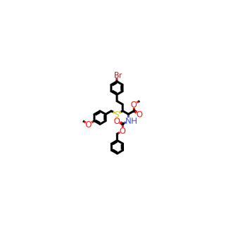 COC(=O)C(NC(=O)OCc1ccccc1)C(CCc1ccc(Br)cc1)SCc1ccc(OC)cc1